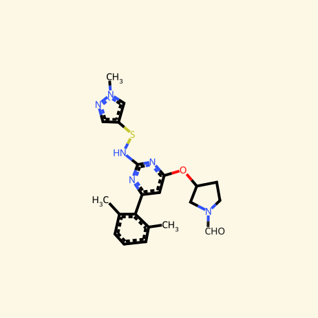 Cc1cccc(C)c1-c1cc(OC2CCN(C=O)C2)nc(NSc2cnn(C)c2)n1